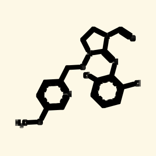 COc1ccc(CON2CCN(C=O)C2=Nc2c(Cl)cccc2Cl)nc1